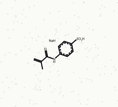 C=C(C)C(=O)Nc1ccc(S(=O)(=O)O)cc1.[NaH]